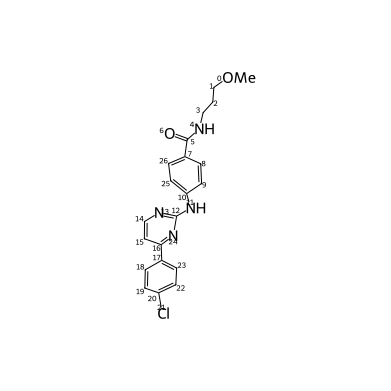 COCCCNC(=O)c1ccc(Nc2nccc(-c3ccc(Cl)cc3)n2)cc1